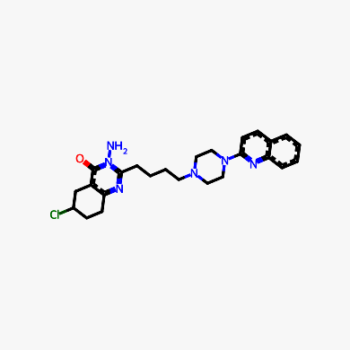 Nn1c(CCCCN2CCN(c3ccc4ccccc4n3)CC2)nc2c(c1=O)CC(Cl)CC2